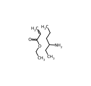 C=CC(=O)OCC.CCCC(N)CC